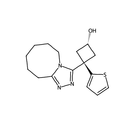 O[C@H]1C[C@@](c2cccs2)(c2nnc3n2CCCCCC3)C1